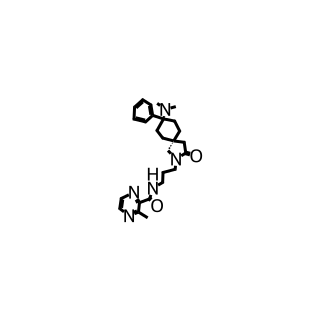 Cc1nccnc1C(=O)NCCCN1C[C@]2(CC[C@](c3ccccc3)(N(C)C)CC2)CC1=O